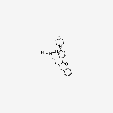 CN(C)CCCC(Cc1ccccc1)C(=O)c1ccc(N2CCOCC2)cc1